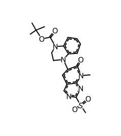 Cn1c(=O)c(N2CCN(C(=O)OC(C)(C)C)c3ccccc32)cc2cnc(S(C)(=O)=O)nc21